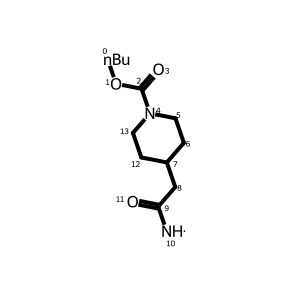 CCCCOC(=O)N1CCC(CC([NH])=O)CC1